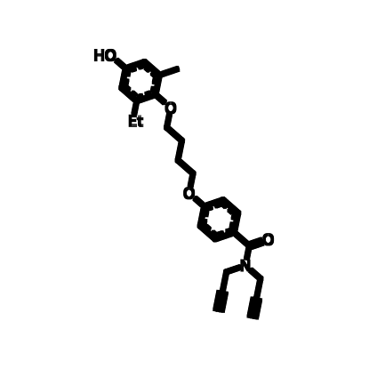 C#CCN(CC#C)C(=O)c1ccc(OCCCCOc2c(C)cc(O)cc2CC)cc1